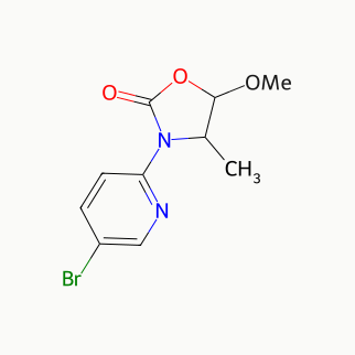 COC1OC(=O)N(c2ccc(Br)cn2)C1C